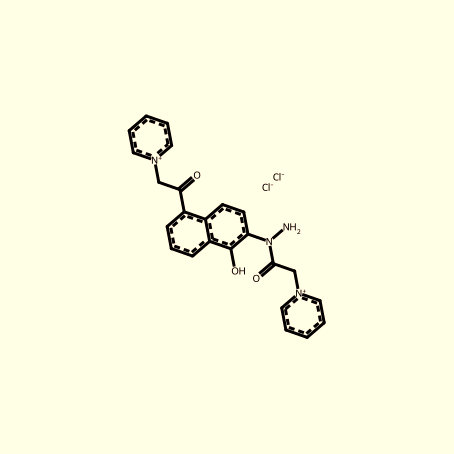 NN(C(=O)C[n+]1ccccc1)c1ccc2c(C(=O)C[n+]3ccccc3)cccc2c1O.[Cl-].[Cl-]